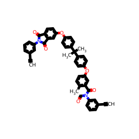 C#Cc1cccc(N(C=O)C(=O)c2cc(Oc3ccc(C(C)(C)c4ccc(Oc5ccc6c(c5)C(=O)N(c5cccc(C#C)c5)C6=O)cc4)cc3)ccc2C)c1